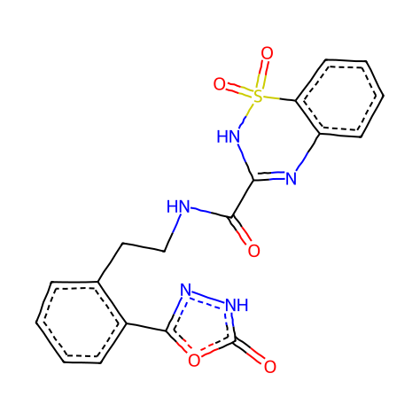 O=C(NCCc1ccccc1-c1n[nH]c(=O)o1)C1=Nc2ccccc2S(=O)(=O)N1